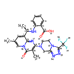 Cc1cc([C@@H](C)Nc2ccccc2C(=O)O)c2nc(N3CCn4c(nnc4C(F)(F)F)C3)c(C)c(=O)n2c1